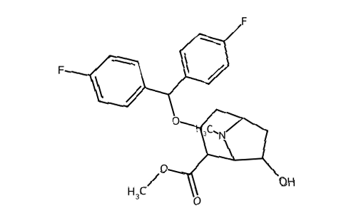 COC(=O)C1C(OC(c2ccc(F)cc2)c2ccc(F)cc2)CC2CC(O)C1N2C